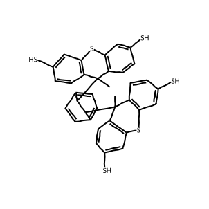 CC1(C2c3ccc(cc3)C2C2(C)c3ccc(S)cc3Sc3cc(S)ccc32)c2ccc(S)cc2Sc2cc(S)ccc21